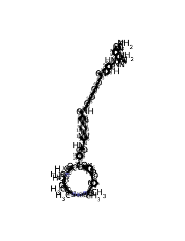 CO[C@H]1CC2CCCC(O2)C(=O)C(=O)N2CCCC[C@H]2C(=O)O[C@H](CC[C@H]2CC[C@H](OC(=O)NCc3cnc(N4CCN(c5ncc(C(=O)NCCOCCOCCOCCOCCC(=O)N6CCc7cc(CNc8ncnc(N)c8C(=N)c8ccc9oc(N)nc9c8)ccc7C6)cn5)CC4)nc3)CC2)CC(=O)[C@H](C)/C=C(\C)[C@@H](O)CC(=O)[C@H](C)C[C@H](C)/C=C/C=C/C=C/1C